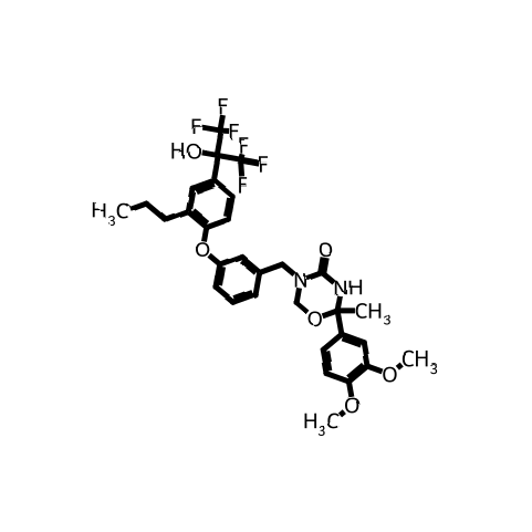 CCCc1cc(C(O)(C(F)(F)F)C(F)(F)F)ccc1Oc1cccc(CN2COC(C)(c3ccc(OC)c(OC)c3)NC2=O)c1